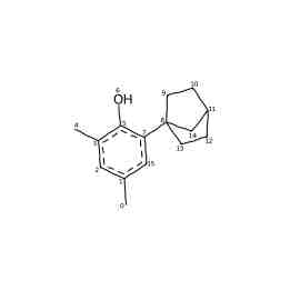 Cc1cc(C)c(O)c(C23CCC(CC2)C3)c1